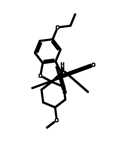 CCOc1ccc2c(c1)C1(NC(=O)N(C)C1=O)C1(CCC(OC)CC1)O2